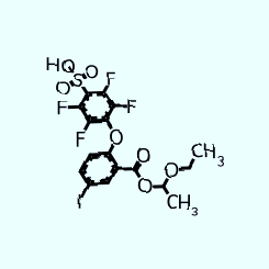 CCOC(C)OC(=O)c1cc(I)ccc1Oc1c(F)c(F)c(S(=O)(=O)O)c(F)c1F